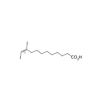 O=C(O)CCCCCCCC/C(I)=C\I